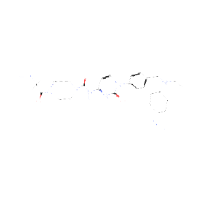 CCN(Cc1ccc(-n2ccc(NC(=O)N3CCN(C(=O)C(C)(C)N)CC3)nc2=O)cc1)[C@H]1CC[C@@H](N)CC1.Cl